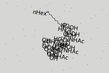 CCCCCC/C=C\CCCCCCCCCC(=O)NC1C(O)[C@H](O)C(CO)O[C@H]1O[C@@H]1C(CO)O[C@@H](O[C@@H]2C(CO)O[C@@H](O[C@@H]3C(CO)O[C@@](C)(O[C@H]4C(O)C(NC(C)=O)[C@H](O)OC4(I)CO[C@@H]4OC[C@@H](O)C(O)C4(C)OC)C(NC(C)=O)C3O)C(NC(C)=O)C2O)C(NC(C)=O)C1O